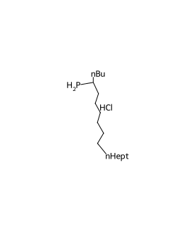 CCCCCCCCCCCCCC(P)CCCC.Cl